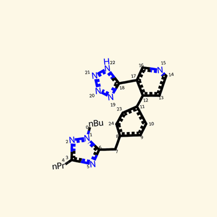 CCCCn1nc(CCC)nc1Cc1ccc(-c2ccncc2-c2nnn[nH]2)cc1